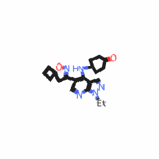 CCn1ncc2c(NC3CCC(=O)CC3)c(C3=NOC4(CCC4)C3)cnc21